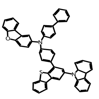 C1=CC2c3ccccc3N(c3cc(-c4ccc(N(c5ccc(-c6ccccc6)cc5)c5ccc6oc7ccccc7c6c5)cc4)c4sc5ccccc5c4c3)C2C=C1